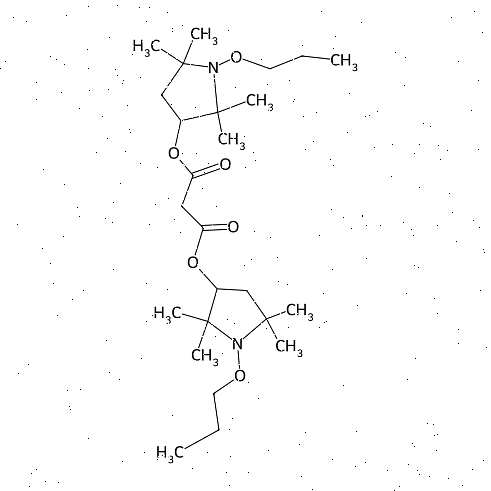 CCCON1C(C)(C)CC(OC(=O)CC(=O)OC2CC(C)(C)N(OCCC)C2(C)C)C1(C)C